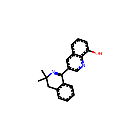 CC1(C)Cc2ccccc2C(c2cnc3c(O)cccc3c2)=N1